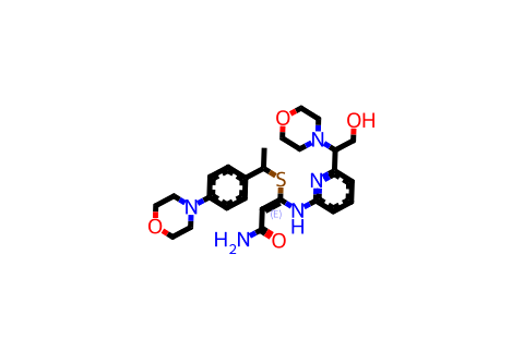 CC(S/C(=C/C(N)=O)Nc1cccc(C(CO)N2CCOCC2)n1)c1ccc(N2CCOCC2)cc1